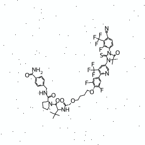 CC(C)(C)C(NC(=O)COCCCCOc1c(F)cc(-c2ncc(N3C(=S)N(c4ccc(C#N)c(C(F)(F)F)c4F)C(=O)C3(C)C)cc2C(F)(F)F)cc1F)C(=O)N1CCCC1C(=O)NCc1ccc(C(N)=O)cc1